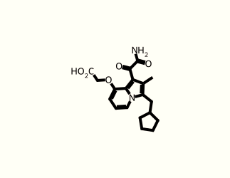 Cc1c(C(=O)C(N)=O)c2c(OCC(=O)O)cccn2c1CC1CCCC1